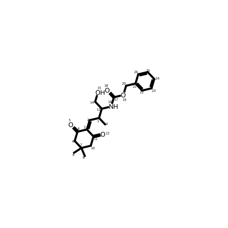 CC(C=C1C(=O)CC(C)(C)CC1=O)C(CO)NC(=O)OCc1ccccc1